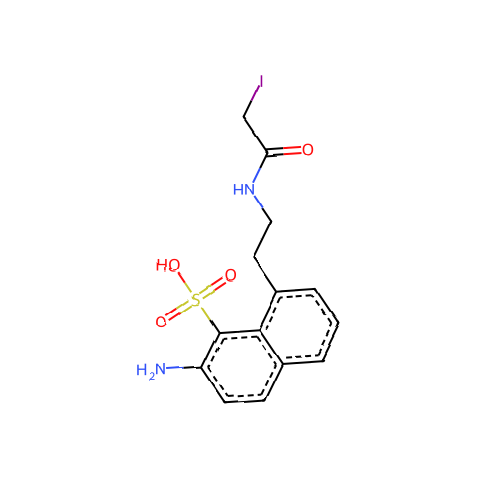 Nc1ccc2cccc(CCNC(=O)CI)c2c1S(=O)(=O)O